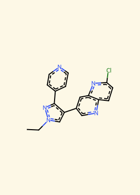 CCn1cc(-c2cnc3ccc(Cl)nc3c2)c(-c2ccncc2)n1